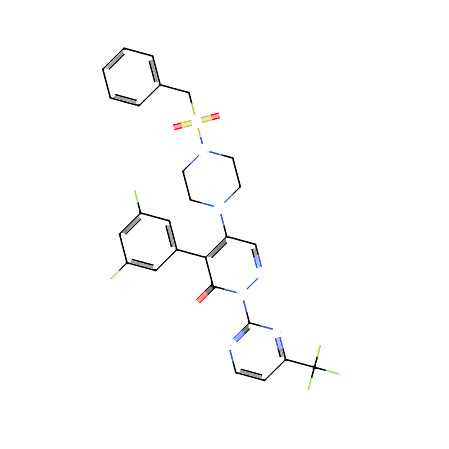 O=c1c(-c2cc(F)cc(F)c2)c(N2CCN(S(=O)(=O)Cc3ccccc3)CC2)cnn1-c1nccc(C(F)(F)F)n1